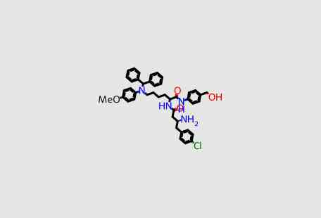 COc1ccc(N(CCCCC(NC(=O)C[C@@H](N)Cc2ccc(Cl)cc2)C(=O)Nc2ccc(CO)cc2)C(c2ccccc2)c2ccccc2)cc1